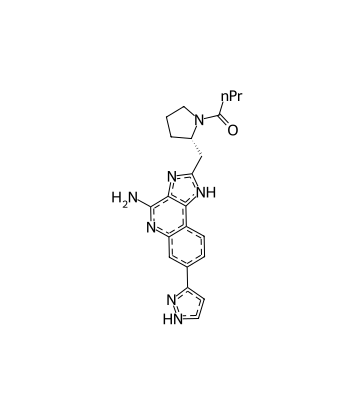 CCCC(=O)N1CCC[C@H]1Cc1nc2c(N)nc3cc(-c4cc[nH]n4)ccc3c2[nH]1